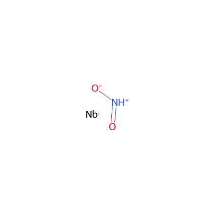 O=[NH+][O-].[Nb]